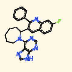 Fc1ccc2cc(C3CCCCCN3c3ncnc4[nH]cnc34)c(-c3ccccc3)nc2c1